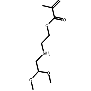 C=C(C)C(=O)OCC[SiH2]CC(OC)OC